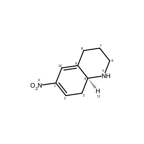 O=[N+]([O-])C1=CC[C@@H]2NCCCC2=C1